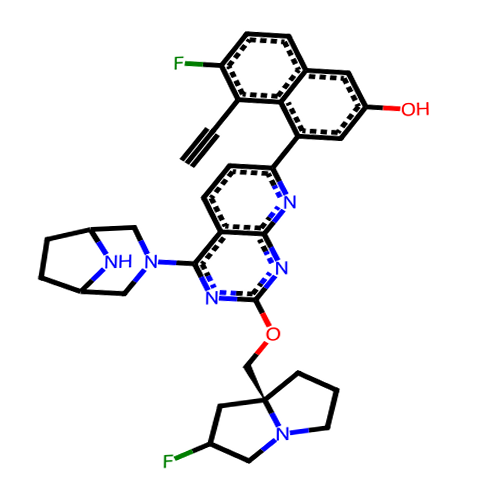 C#Cc1c(F)ccc2cc(O)cc(-c3ccc4c(N5CC6CCC(C5)N6)nc(OC[C@@]56CCCN5CC(F)C6)nc4n3)c12